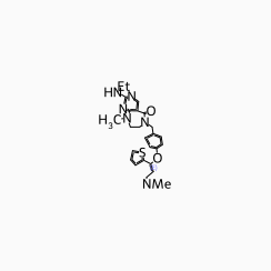 CCNc1ncc2c(n1)N(C)CCN(Cc1ccc(O/C(=C/CNC)c3cccs3)cc1)C2=O